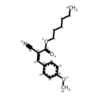 CCCCCCOC(=O)C(C#N)=Cc1ccc(OC)cc1